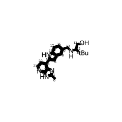 Cc1nc2c(-c3cc4cc(CNC(CO)C(C)(C)C)ccc4[nH]3)ccnc2[nH]1